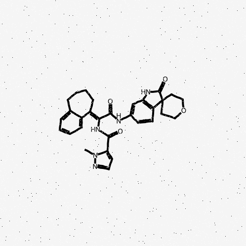 Cn1nccc1C(=O)NC(C(=O)Nc1ccc2c(c1)NC(=O)C21CCOCC1)=C1CCCCc2ccccc21